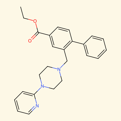 CCOC(=O)c1ccc(-c2ccccc2)c(CN2CCN(c3ccccn3)CC2)c1